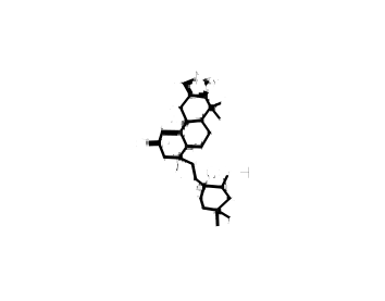 CC1CC(C)(C)CC[C@@]1(CC[C@]1(C)CC(=O)C=C2[C@@]3(C)Cc4cnoc4C(C)(C)C3CC[C@]21C)C(=O)O